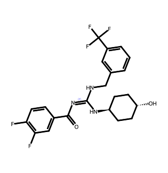 O=C(/N=C(/NCc1cccc(C(F)(F)F)c1)N[C@H]1CC[C@H](O)CC1)c1ccc(F)c(F)c1